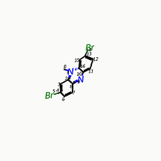 C[n+]1c2cc(Br)ccc2nc2ccc(Br)cc21